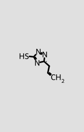 C=CC[C]1N=NC(S)=N1